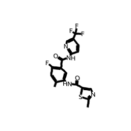 Cc1ncc(C(=O)Nc2cc(C(=O)Nc3ccc(C(F)(F)F)cn3)c(F)cc2C)s1